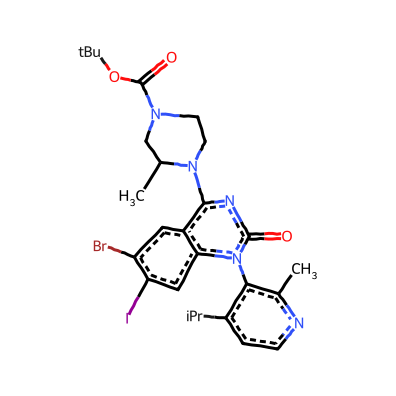 Cc1nccc(C(C)C)c1-n1c(=O)nc(N2CCN(C(=O)OC(C)(C)C)CC2C)c2cc(Br)c(I)cc21